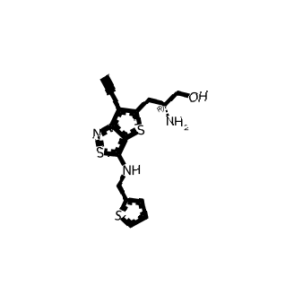 C#Cc1c(C[C@@H](N)CO)sc2c(NCc3cccs3)snc12